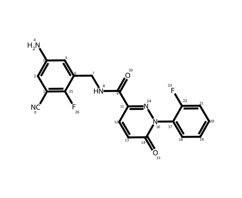 N#Cc1cc(N)cc(CNC(=O)c2ccc(=O)n(-c3ccccc3F)n2)c1F